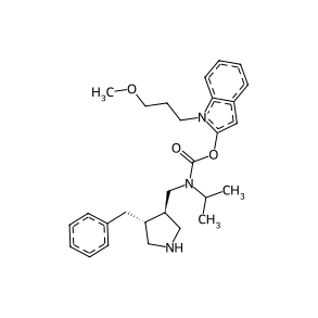 COCCCn1c(OC(=O)N(C[C@H]2CNC[C@@H]2Cc2ccccc2)C(C)C)cc2ccccc21